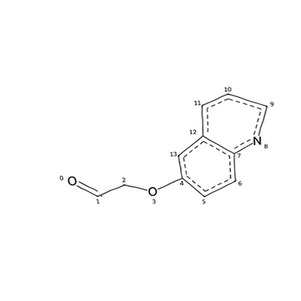 O=[C]COc1ccc2ncccc2c1